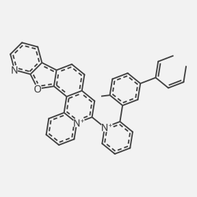 C/C=C\C(=C/C)c1ccc(C)c(-c2cccc[n+]2-c2cc3ccc4c5cccnc5oc4c3c3cccc[n+]23)c1